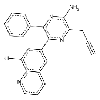 C#CCc1nc(-c2cc(Cl)c3ncccc3c2)c(-c2ccccc2)nc1N